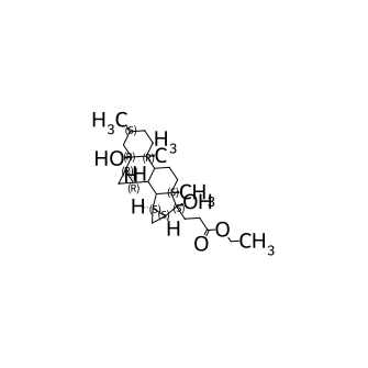 CCOC(=O)CC[C@]1(O)[C@H]2C[C@H]2C2C3C(CC[C@@]21C)[C@@]1(C)CC[C@H](C)C[C@@]1(O)[C@@H]1C[C@H]31